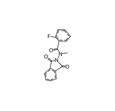 CN(C(=O)c1ccccc1F)N1C(=O)c2ccccc2C1=O